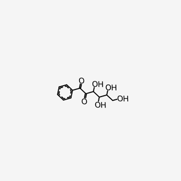 O=C(C(=O)C(O)C(O)C(O)CO)c1ccccc1